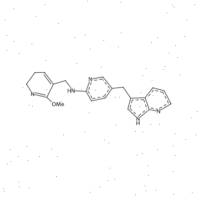 COC1=NCCC=C1CNc1ccc(Cc2c[nH]c3ncccc23)cn1